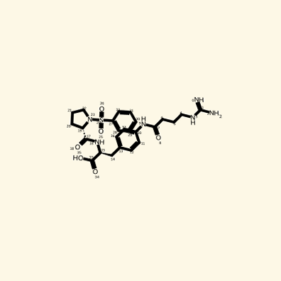 N=C(N)NCCCC(=O)Nc1ccc(C[C@H](NC(=O)[C@@H]2CCCN2S(=O)(=O)c2ccccc2)C(=O)O)cc1